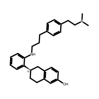 CN(C)CCc1ccc(CCCNc2ccccc2[C@@H]2CCc3cc(O)ccc3C2)cc1